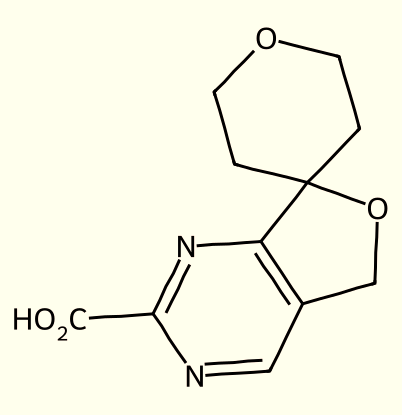 O=C(O)c1ncc2c(n1)C1(CCOCC1)OC2